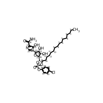 CCCCCCCCCCCCCCCCOP(=O)(OC[C@H]1O[C@@H](n2cnc(C(N)=O)c2O)[C@H](O)[C@@H]1O)Oc1ccc(Cl)cc1